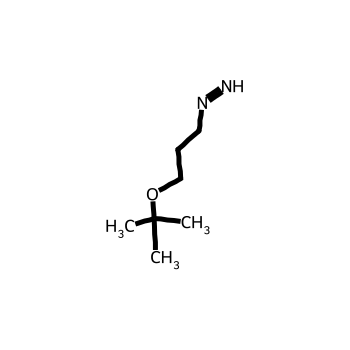 CC(C)(C)OCCCN=N